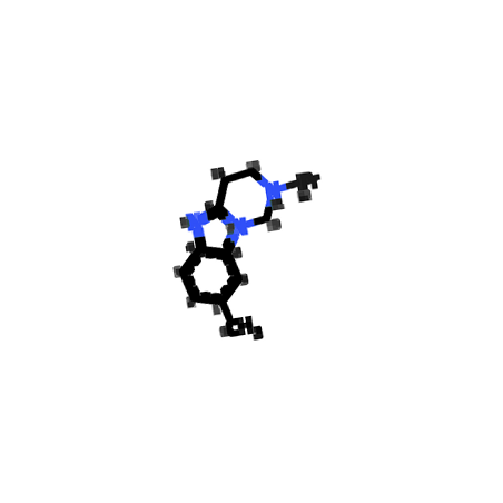 Cc1ccc2nc3n(c2c1)CN(C(C)C)CC3